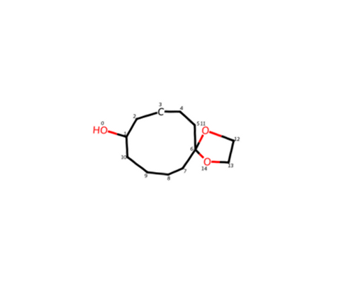 OC1CCCCC2(CCCC1)OCCO2